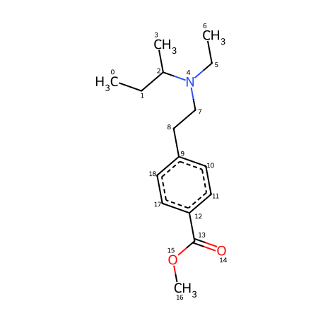 CCC(C)N(CC)CCc1ccc(C(=O)OC)cc1